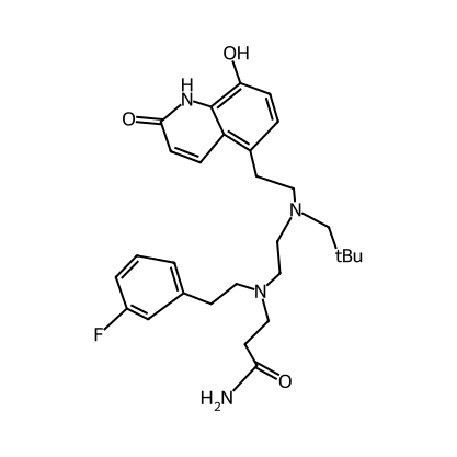 CC(C)(C)CN(CCc1ccc(O)c2[nH]c(=O)ccc12)CCN(CCC(N)=O)CCc1cccc(F)c1